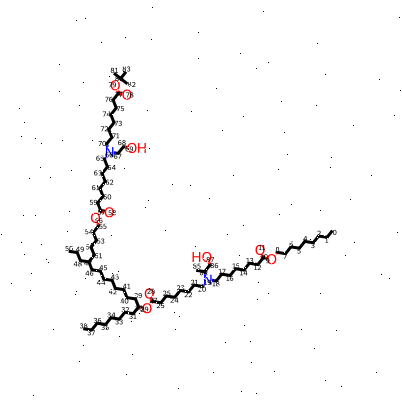 CCCCCCCCCOC(=O)CCCCCCCN(CCCCCCCC(=O)OC(CCCCCCCC)CCCCCCCCC(CCC)CCCCCOC(=O)CCCCCCCN(CCO)CCCCCCCC(=O)OC(C)(C)C)C(C)CO